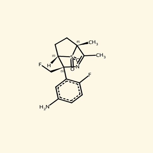 CC1=N[C@](CF)(c2cc(N)ccc2F)[C@@H]2CC[C@@]1(C)S2(=O)=O